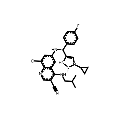 CC(C)CNc1c(C#N)cnc2c(Cl)cc(N[C@H](C3=CN(C4CC4)NN3)c3ccc(F)cc3)cc12